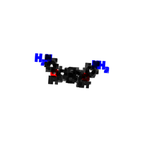 CC(C)c1cc(C(c2ccc(Oc3ccc(N)cc3)c(C(C)C)c2)(C(F)(F)F)C(F)(F)F)ccc1Oc1ccc(N)cc1